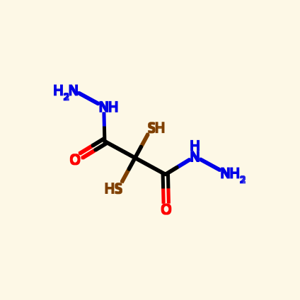 NNC(=O)C(S)(S)C(=O)NN